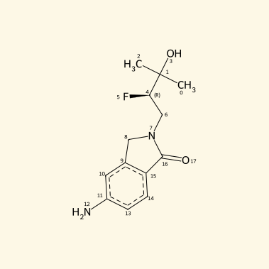 CC(C)(O)[C@H](F)CN1Cc2cc(N)ccc2C1=O